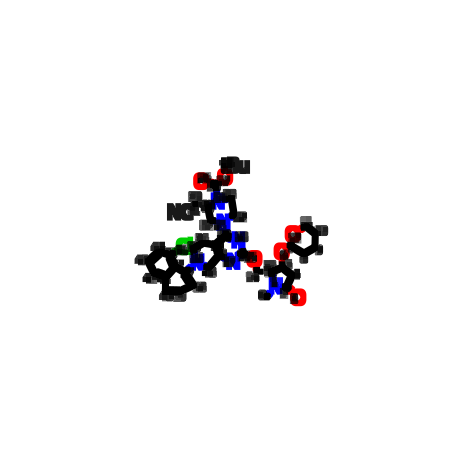 CN1C(=O)CC(OC2CCCCO2)[C@H]1COc1nc2c(c(N3CCN(C(=O)OC(C)(C)C)[C@@H](CC#N)C3)n1)CCN(c1cccc3cccc(Cl)c13)C2